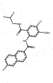 COc1cc(NC(=O)c2ccc3cc(F)ccc3c2)c(C(=O)NSC(F)F)cc1Cl